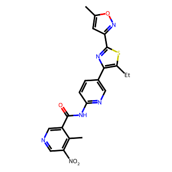 CCc1sc(-c2cc(C)on2)nc1-c1ccc(NC(=O)c2cncc([N+](=O)[O-])c2C)nc1